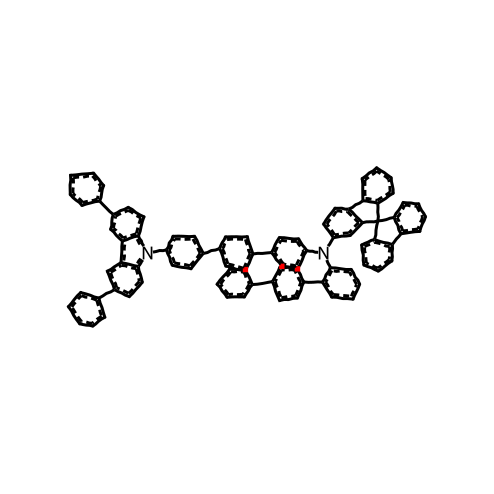 c1ccc(-c2ccc(-c3ccccc3N(c3ccc(-c4ccc(-c5ccc(-n6c7ccc(-c8ccccc8)cc7c7cc(-c8ccccc8)ccc76)cc5)cc4)cc3)c3ccc4c(c3)C3(c5ccccc5-c5ccccc53)c3ccccc3-4)cc2)cc1